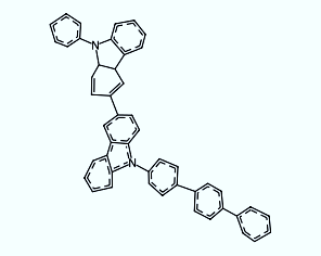 C1=CC2C(C=C1c1ccc3c(c1)c1ccccc1n3-c1ccc(-c3ccc(-c4ccccc4)cc3)cc1)c1ccccc1N2c1ccccc1